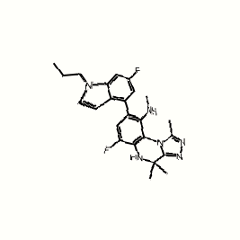 CCCn1ccc2c(-c3cc(F)c4c(c3NC)-n3c(C)nnc3C(C)(C)N4)cc(F)cc21